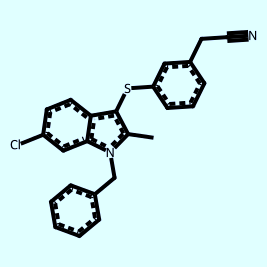 Cc1c(Sc2cccc(CC#N)c2)c2ccc(Cl)cc2n1Cc1ccccc1